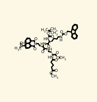 COC(=O)CCCC(=O)N[C@H](CCNC(=O)[C@@H](CCN1C(=O)c2cccc3c(N(C)C)ccc(c23)C1=O)NC(=O)[C@H](CCCCNC(=O)OCC1c2ccccc2-c2ccccc21)NC(=O)OC(C)(C)C)C(=O)OC